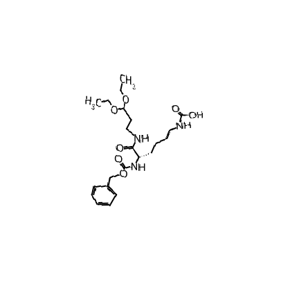 CCOC(CCNC(=O)[C@H](CCCCNC(=O)O)NC(=O)OCc1ccccc1)OCC